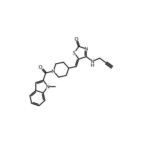 C#CCNC1=NC(=O)S/C1=C\C1CCN(C(=O)c2cc3ccccc3n2C)CC1